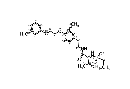 CCS(=O)(=O)NC(C(=O)NCCc1ccc(OCCOc2cccc(C)c2)c(OC)c1)C(C)C